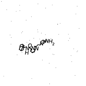 N[C@@H]1CCN(CCc2cn3c(C(=O)NCC45CC6CC(CC(C6)C4)C5)cccc3n2)C1